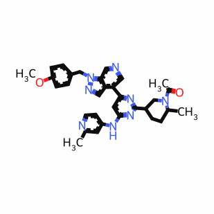 COc1ccc(Cn2ncc3c(-c4cc(Nc5ccnc(C)c5)nc(C5CCC(C)N(C(C)=O)C5)n4)cncc32)cc1